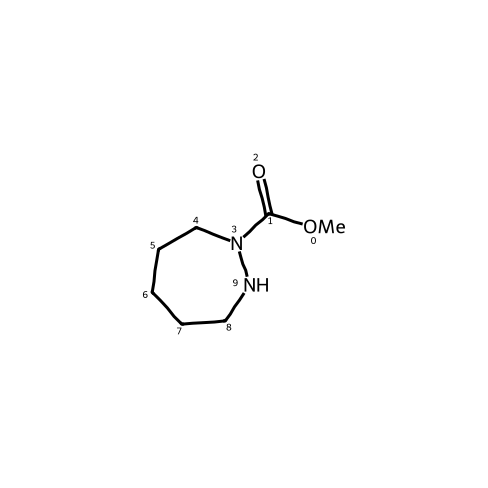 COC(=O)N1CCCCCN1